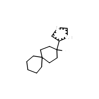 OC1(c2cnc[nH]2)CCC2(CCCCC2)CC1